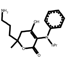 CCCN(C1=C(O)CC(C)(CCCN)OC1=O)c1ccccc1